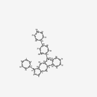 c1ccc(-n2ccc3cc4c5ccccc5n(-c5ccc(-c6ccncc6)cn5)c4cc32)cc1